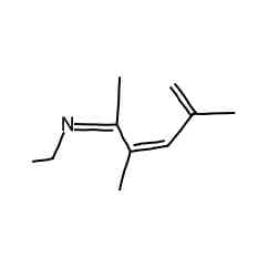 C=C(C)/C=C(C)\C(C)=N/CC